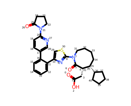 O=C(O)C[C@@H]1C(=O)N(c2nc(-c3ccccc3-c3ccc(N4CCCC4=O)nc3)cs2)CCCC[C@@H]1C1CCCC1